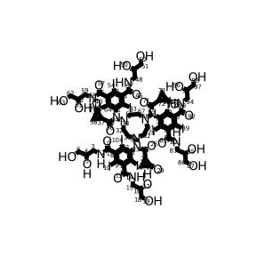 O=C(NCC(O)CO)c1c(I)c(C(=O)NCC(O)CO)c(I)c(N(C(=O)C2CC2=O)N2CCN(N(C(=O)C3CC3=O)c3c(I)c(C(=O)NCC(O)CO)c(I)c(C(=O)NCC(O)CO)c3I)CCN(N(C(=O)C3CC3=O)c3c(I)c(C(=O)NCC(O)CO)c(I)c(C(=O)NCC(O)CO)c3I)CC2)c1I